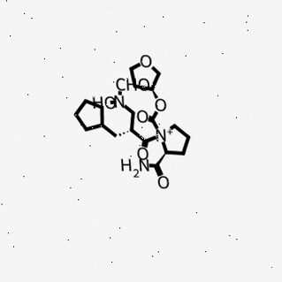 NC(=O)[C@@H]1CCC[N+]1(C(=O)O[C@H]1CCOC1)C(=O)[C@H](CC1CCCC1)CN(O)C=O